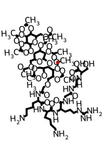 CC(=O)OCC1OC(OC2C(COC(C)=O)OC(OC3C(COC(C)=O)OC(OCC(=O)NC(CCCCN)C(=O)NC(CCCCN)C(=O)NC(CCCNC(=N)N)C(=O)NCC(=O)NCC(=O)NC(CO)C(=O)O)C(OC(C)=O)C3OC(C)=O)C(OC(C)=O)C2OC(C)=O)C(OC(C)=O)C(OC(C)=O)C1OC(C)=O